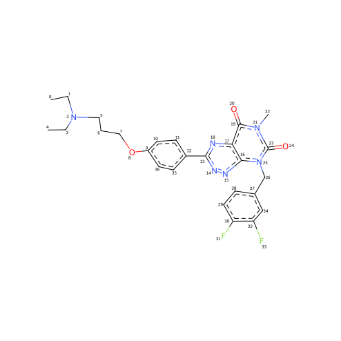 CCN(CC)CCCOc1ccc(-c2nnc3c(n2)c(=O)n(C)c(=O)n3Cc2ccc(F)c(F)c2)cc1